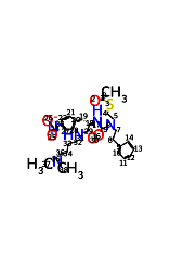 CC(=O)SCCN(CCc1ccccc1)C(=O)N[C@@H](Cc1ccc([N+](=O)[O-])cc1)C(=O)NCCCCN(C)C